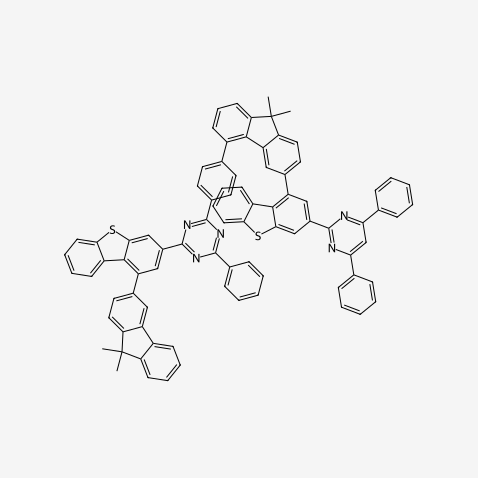 CC1(C)c2ccccc2-c2cc(-c3cc(-c4nc(-c5ccccc5)nc(-c5ccc(-c6cccc7c6-c6cc(-c8cc(-c9nc(-c%10ccccc%10)cc(-c%10ccccc%10)n9)cc9sc%10ccccc%10c89)ccc6C7(C)C)cc5)n4)cc4sc5ccccc5c34)ccc21